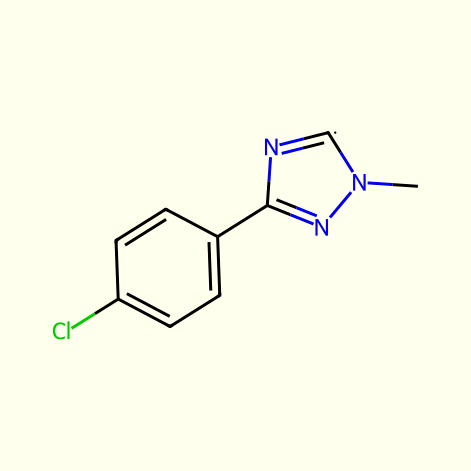 Cn1[c]nc(-c2ccc(Cl)cc2)n1